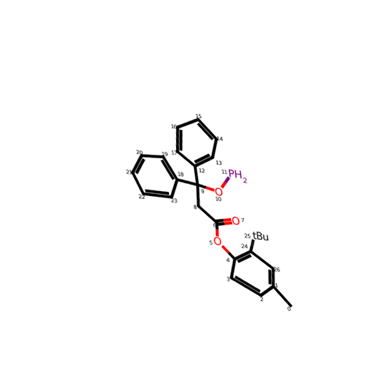 Cc1ccc(OC(=O)CC(OP)(c2ccccc2)c2ccccc2)c(C(C)(C)C)c1